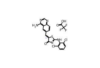 Nc1ncnc2ccc(/C=C3\SC(Nc4c(Cl)cccc4Cl)=NC3=O)cc12.O=C(O)C(F)(F)F